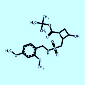 COc1ccc(CNS(=O)(=O)CC2C(O)CN2C(=O)OC(C)(C)C)c(OC)c1